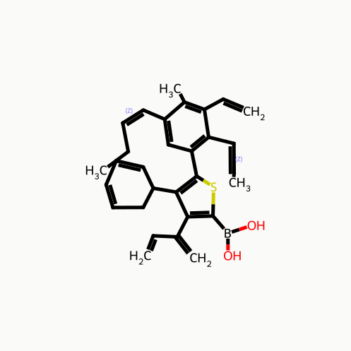 C=CC(=C)c1c(B(O)O)sc(-c2cc(/C=C\CC)c(C)c(C=C)c2/C=C\C)c1C1C=CC=CC1